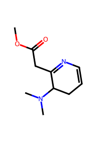 COC(=O)CC1=NC=CCC1N(C)C